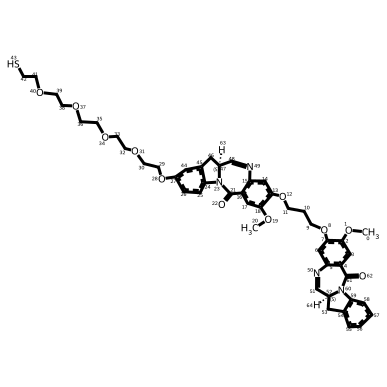 COc1cc2c(cc1OCCCOc1cc3c(cc1OC)C(=O)N1c4ccc(OCCOCCOCCOCCOCCS)cc4C[C@H]1C=N3)N=C[C@@H]1Cc3ccccc3N1C2=O